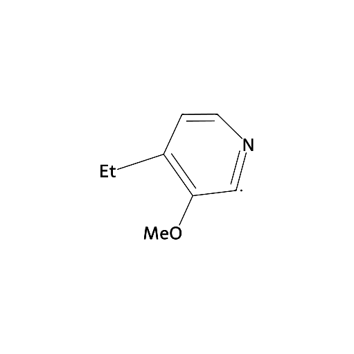 CCc1ccn[c]c1OC